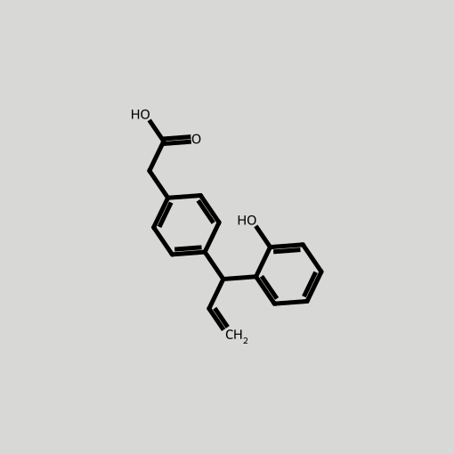 C=CC(c1ccc(CC(=O)O)cc1)c1ccccc1O